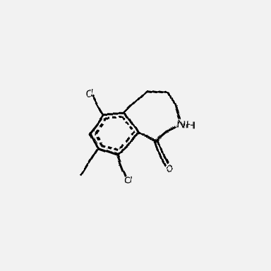 Cc1cc(Cl)c2c(c1Cl)C(=O)NCC2